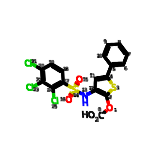 O=C(O)Oc1sc(-c2ccccc2)cc1NS(=O)(=O)c1ccc(Cl)c(Cl)c1Cl